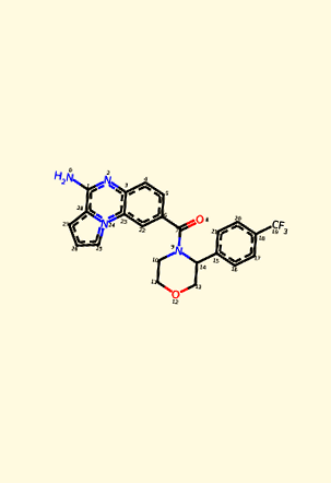 Nc1nc2ccc(C(=O)N3CCOCC3c3ccc(C(F)(F)F)cc3)cc2n2cccc12